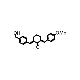 COc1ccc(/C=C2\CCC/C(=C\c3ccc(CO)cc3)C2=O)cc1